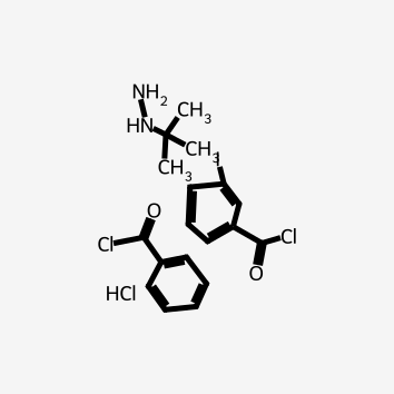 CC(C)(C)NN.Cl.O=C(Cl)c1cccc(I)c1.O=C(Cl)c1ccccc1